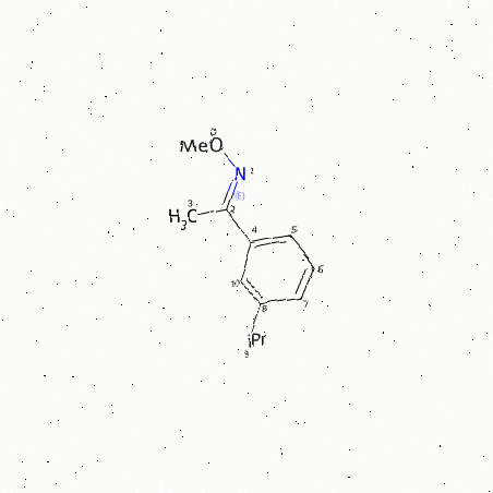 CO/N=C(\C)c1cccc(C(C)C)c1